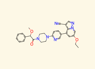 CCOc1cc(-c2ccc(N3CCN(C(=O)C(OC)c4ccccc4)CC3)nc2)c2c(C#N)cnn2c1